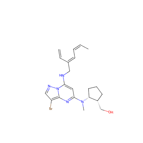 C=C/C(=C\C=C/C)CNc1cc(N(C)[C@@H]2CCC[C@@H]2CO)nc2c(Br)cnn12